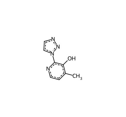 Cc1ccnc(-n2ccnn2)c1O